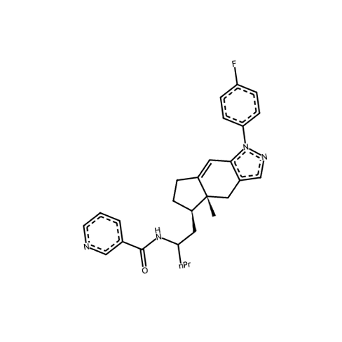 CCCC(C[C@H]1CCC2=Cc3c(cnn3-c3ccc(F)cc3)C[C@@]21C)NC(=O)c1cccnc1